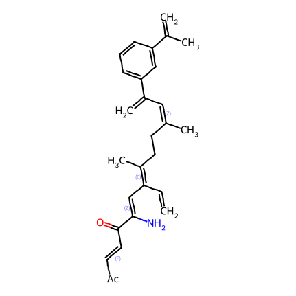 C=CC(/C=C(\N)C(=O)/C=C/C(C)=O)=C(/C)CC/C(C)=C\C(=C)c1cccc(C(=C)C)c1